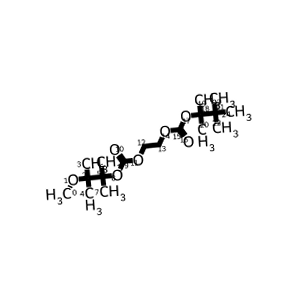 COC(C)(C)C(C)(C)OC(=O)OCCOC(=O)OC(C)(C)C(C)(C)C